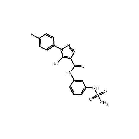 CCc1c(C(=O)Nc2cccc(NS(C)(=O)=O)c2)cnn1-c1ccc(F)cc1